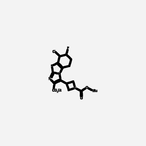 CCOC(=O)c1nc2sc3c(n2c1C1CN(C(=O)OC(C)(C)C)C1)CCC(F)C3Cl